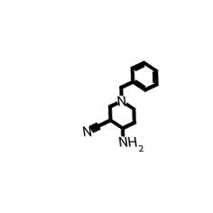 N#CC1CN(Cc2ccccc2)CCC1N